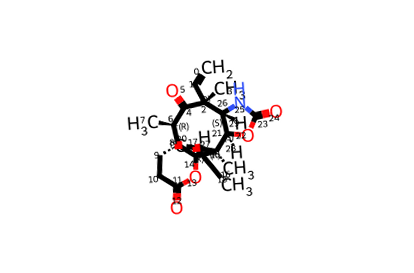 C=C[C@@]1(C)C(=O)[C@H](C)[C@]23CCC(=O)O[C@H]2[C@@](C)(C(C)CC3)[C@@H]2OC(=O)N[C@H]21